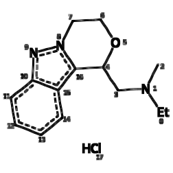 CCN(C)CC1OCCn2nc3ccccc3c21.Cl